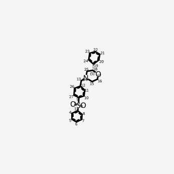 O=S(=O)(c1ccccc1)c1ccc(CN2CCO[C@@H](c3ccccc3)C2)cc1